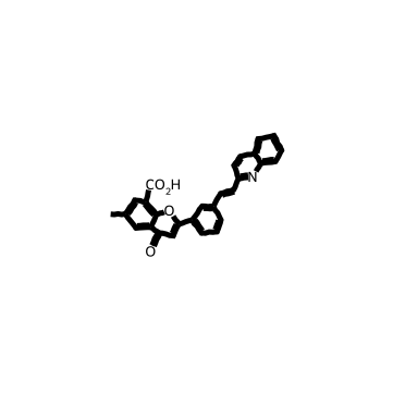 Cc1cc(C(=O)O)c2oc(-c3cccc(C=Cc4ccc5ccccc5n4)c3)cc(=O)c2c1